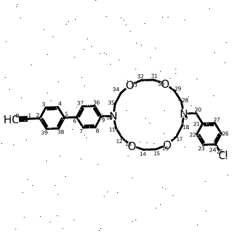 C#Cc1ccc(-c2ccc(N3CCOCCOCCN(Cc4ccc(Cl)cc4)CCOCCOCC3)cc2)cc1